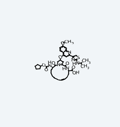 COc1ccc2c(OC3CC4C(=O)NC(C(=O)O)CCC=CCCCCCC(NC(=O)OC5CCCC5)C(=O)[N+]4C3)cc(-c3csc(NC(C)C)n3)nc2c1